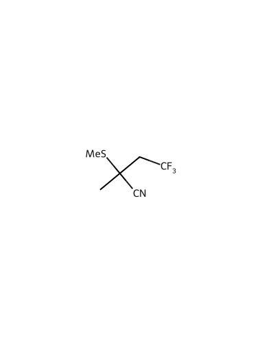 CSC(C)(C#N)CC(F)(F)F